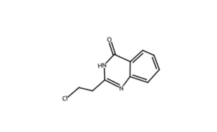 O=c1[nH]c(CCCl)nc2ccccc12